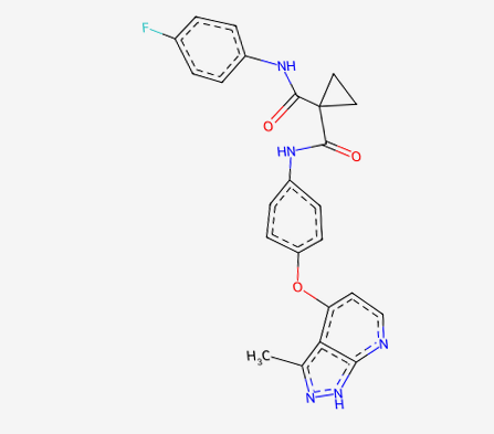 Cc1n[nH]c2nccc(Oc3ccc(NC(=O)C4(C(=O)Nc5ccc(F)cc5)CC4)cc3)c12